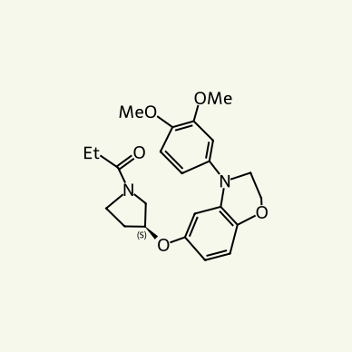 CCC(=O)N1CC[C@H](Oc2ccc3c(c2)N(c2ccc(OC)c(OC)c2)CCO3)C1